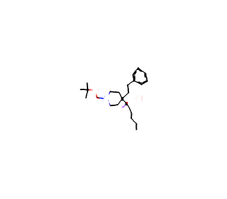 CCCCC(O)(I)C1(CCc2ccccc2)CCN(C(=O)OC(C)(C)C)CC1